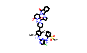 COc1cc(C2CCN(CC3CCN3C3c4ccccc4C(=O)N3C3CCC(=O)NC3=O)CC2)c(C)cc1Nc1ncc(Cl)c(Nc2ccccc2S(=O)(=O)C(C)C)n1